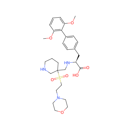 COc1cccc(OC)c1-c1ccc(C[C@H](NCC2(S(=O)(=O)CCN3CCOCC3)CCCNC2)C(=O)O)cc1